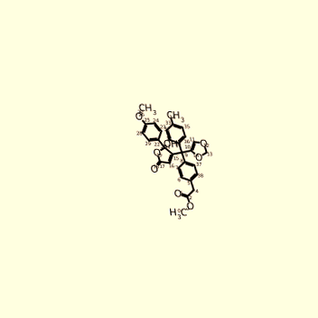 COC(=O)Cc1ccc(C(C2=COCO2)(C2=CC(=O)OC2(O)c2ccc(OC)cc2)c2ccc(C)cc2)cc1